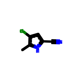 Cc1[nH]c(C#N)cc1Cl